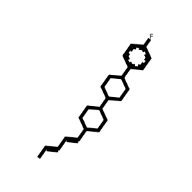 CC=CC=CC1CCC(C2CCC(c3ccc(F)cc3)CC2)CC1